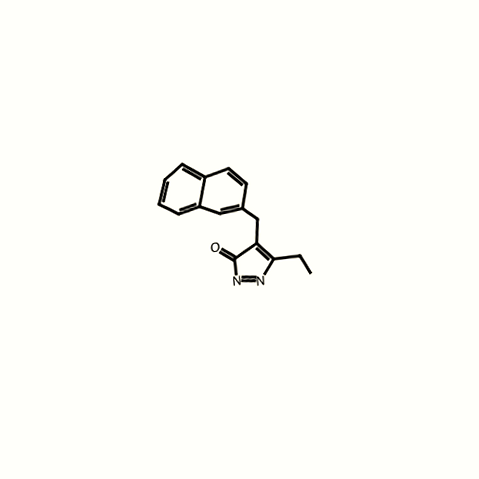 CCC1=C(Cc2ccc3ccccc3c2)C(=O)N=N1